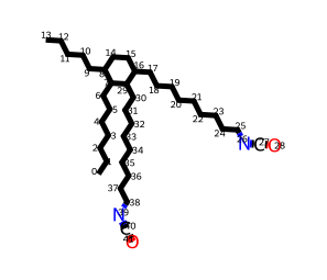 CCCCCCCC1C(CCCCC)CCC(CCCCCCCCCN=C=O)C1CCCCCCCCCN=C=O